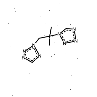 CC(C)(Cn1ncnn1)n1cnnn1